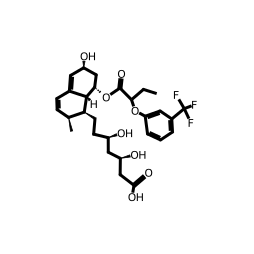 CCC(Oc1cccc(C(F)(F)F)c1)C(=O)O[C@H]1C[C@H](O)C=C2C=C[C@H](C)[C@H](CC[C@@H](O)C[C@@H](O)CC(=O)O)[C@H]21